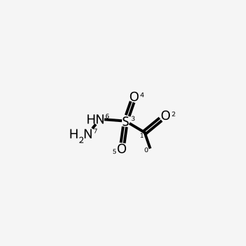 CC(=O)S(=O)(=O)NN